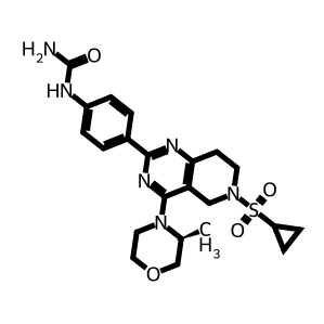 C[C@H]1COCCN1c1nc(-c2ccc(NC(N)=O)cc2)nc2c1CN(S(=O)(=O)C1CC1)CC2